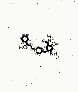 COc1cc(N)c(CC2CCN(CCC(O)c3ccccc3)CC2)cc1C(N)=O